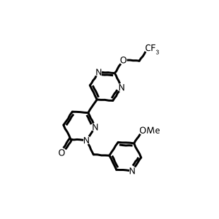 COc1cncc(Cn2nc(-c3cnc(OCC(F)(F)F)nc3)ccc2=O)c1